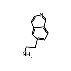 NCCc1ccc2cnccc2c1